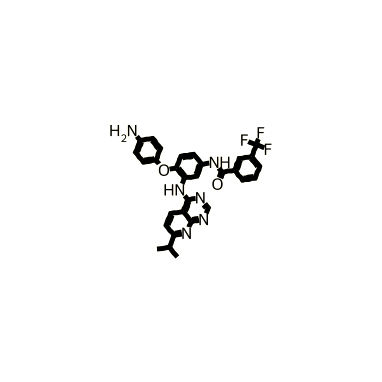 CC(C)c1ccc2c(Nc3cc(NC(=O)c4cccc(C(F)(F)F)c4)ccc3Oc3ccc(N)cc3)ncnc2n1